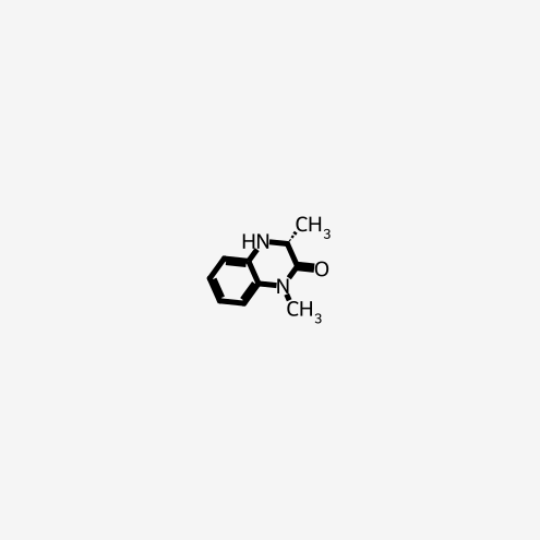 C[C@H]1Nc2ccccc2N(C)C1=O